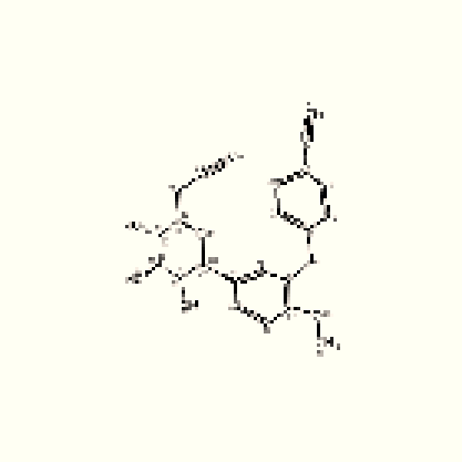 C#Cc1ccc(Cc2cc([C@@H]3O[C@H](CC#N)[C@@H](O)[C@H](O)[C@H]3O)ccc2OC)cc1